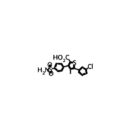 Cc1c(-c2cccc(Cl)c2)sc(C(=O)O)c1-c1ccc(S(N)(=O)=O)cc1